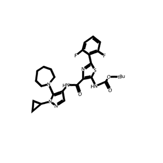 CC(C)(C)OC(=O)Nc1sc(-c2c(F)cccc2F)nc1C(=O)Nc1cnn(C2CC2)c1N1CCCCCC1